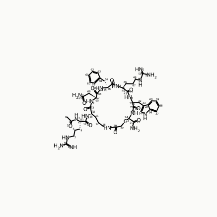 CC(=O)N[C@@H](CCCNC(=N)N)C(=O)N[C@H]1CCCNC(=O)CCC(C(N)=O)NC(=O)[C@H](Cc2c[nH]c3ccccc23)NC(=O)[C@H](CCCNC(=N)N)NC(=O)[C@@H](Cc2ccccc2)NC(=O)[C@H](CC(N)=O)NC1=O